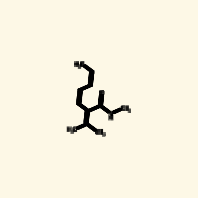 C/C=C\C=C/C(C(=O)NC)=C(C)C